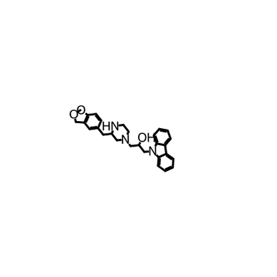 OC(CN1CCNC(Cc2ccc3c(c2)COO3)C1)Cn1c2ccccc2c2ccccc21